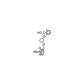 CCCCNC(=O)N(CCO[C@@H]1CCC[C@H](OCc2cccc(C)c2C(=O)O)C1)CC(C)(C)C